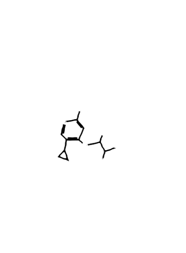 O=C(O)c1cc(OC(F)C(F)F)c(C2CC2)cn1